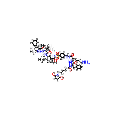 CN[C@H](C(=O)N[C@H](C(=O)N(C)[C@H](C=C(C)C(=O)NS(=O)(=O)c1ccc(CNC(=O)[C@@H](CCCCN)NC(=O)[C@@H](Cc2ccccc2)NC(=O)CCCCCN2C(=O)C=CC2=O)cc1)C(C)C)C(C)(C)C)C(C)(C)c1ccccc1